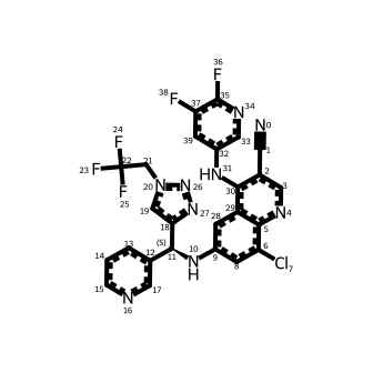 N#Cc1cnc2c(Cl)cc(N[C@@H](c3cccnc3)c3cn(CC(F)(F)F)nn3)cc2c1Nc1cnc(F)c(F)c1